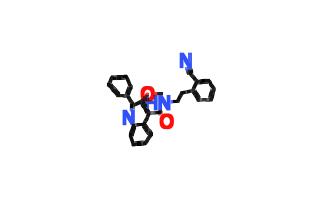 COc1c(-c2ccccc2)nc2ccccc2c1C(=O)NCCc1ccccc1C#N